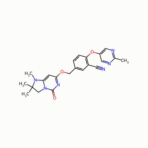 Cc1ncc(Oc2ccc(COc3cc4n(c(=O)n3)CC(C)(C)N4C)cc2C#N)cn1